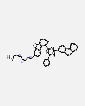 C\C=C/C=C\C=C\c1ccc2c(c1)oc1cccc(-c3nc(-c4ccccc4)nc(-c4ccc5c(ccc6ccccc65)c4)n3)c12